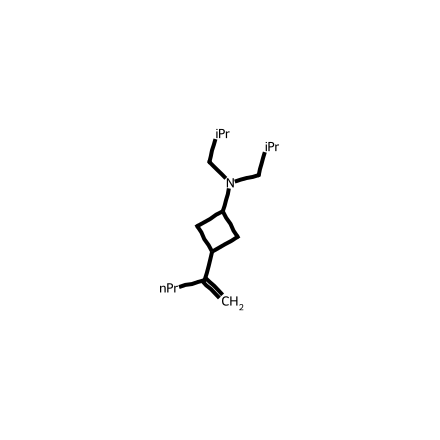 C=C(CCC)C1CC(N(CC(C)C)CC(C)C)C1